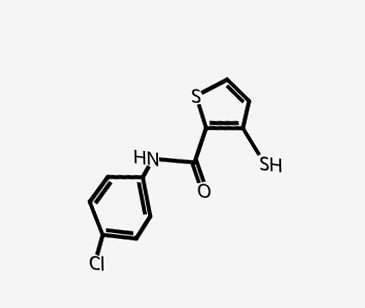 O=C(Nc1ccc(Cl)cc1)c1sccc1S